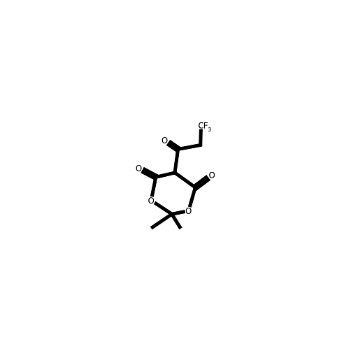 CC1(C)OC(=O)C(C(=O)CC(F)(F)F)C(=O)O1